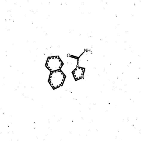 NC(=O)n1ccnc1.c1ccc2ccccc2c1